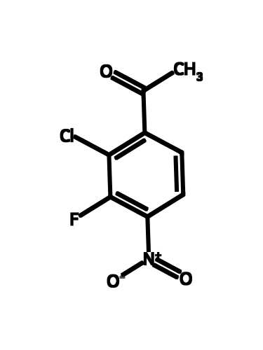 CC(=O)c1ccc([N+](=O)[O-])c(F)c1Cl